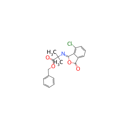 CC(C)(N=C1OC(=O)c2cccc(Cl)c21)C(=O)OCc1ccccc1